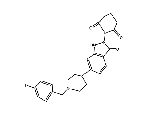 O=C1CCCC(=O)N1n1[nH]c2cc(C3CCN(Cc4ccc(F)cc4)CC3)ccc2c1=O